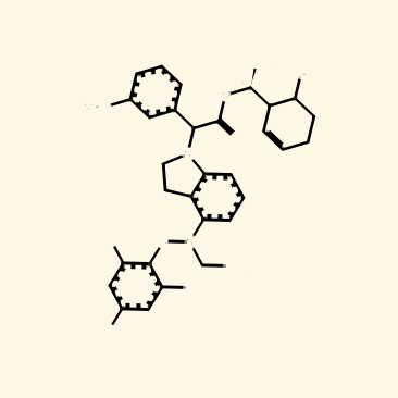 COc1cccc(C(C(=O)N[C@@H](C)C2C=CCCC2Br)N2CCc3c(N(CC(=O)O)Sc4c(C)cc(C)cc4C)cccc32)c1